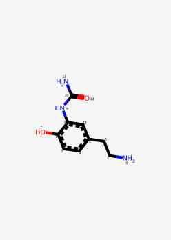 NCCc1ccc(O)c(NC(N)=O)c1